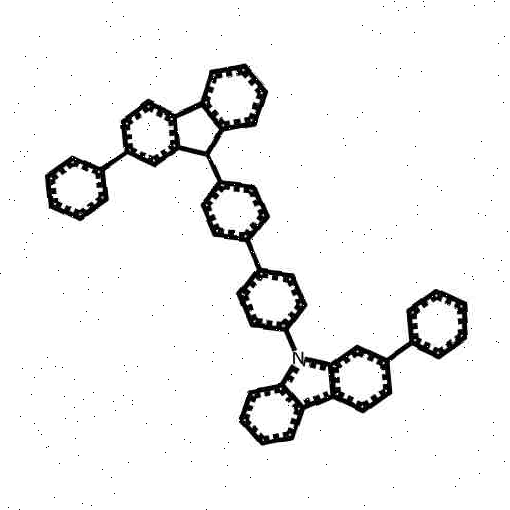 c1ccc(-c2ccc3c(c2)C(c2ccc(-c4ccc(-n5c6ccccc6c6ccc(-c7ccccc7)cc65)cc4)cc2)c2ccccc2-3)cc1